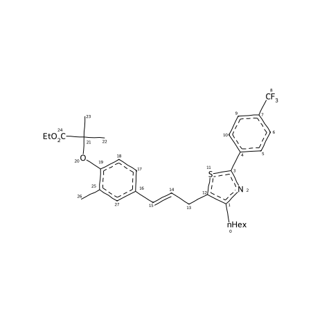 CCCCCCc1nc(-c2ccc(C(F)(F)F)cc2)sc1CC=Cc1ccc(OC(C)(C)C(=O)OCC)c(C)c1